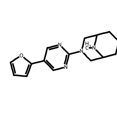 CN1C2CCCC1CN(c1ncc(-c3ccco3)cn1)C2